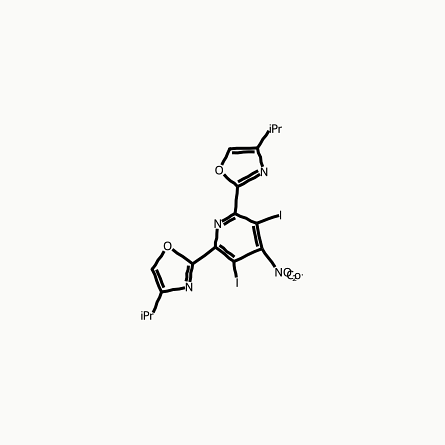 CC(C)c1coc(-c2nc(-c3nc(C(C)C)co3)c(I)c([N+](=O)[O-])c2I)n1.[Co]